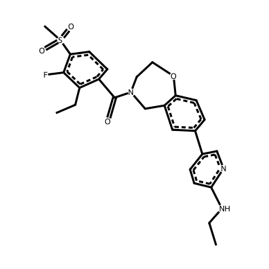 CCNc1ccc(-c2ccc3c(c2)CN(C(=O)c2ccc(S(C)(=O)=O)c(F)c2CC)CCO3)cn1